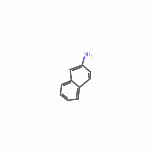 Nc1[c]c2ccccc2cc1